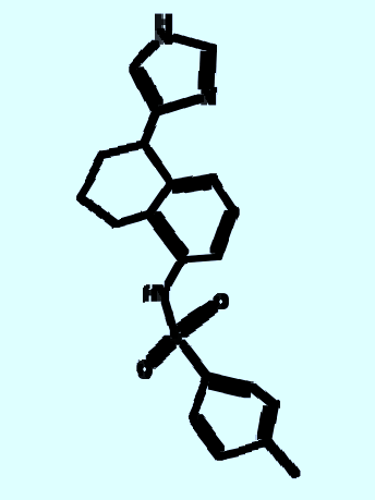 Cc1ccc(S(=O)(=O)Nc2cccc3c2CCCC3c2c[nH]cn2)cc1